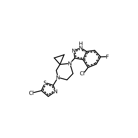 Fc1cc(Cl)c2c(N3CCN(c4ncc(Cl)s4)CC34CC4)n[nH]c2c1